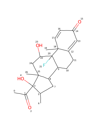 CC(=O)C1(O)C(C)CC2C3CCC4=CC(=O)C=CC4(C)C3(F)C(O)CC21C